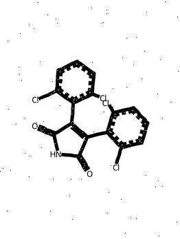 O=C1NC(=O)C(c2c(Cl)cccc2Cl)=C1c1c(Cl)cccc1Cl